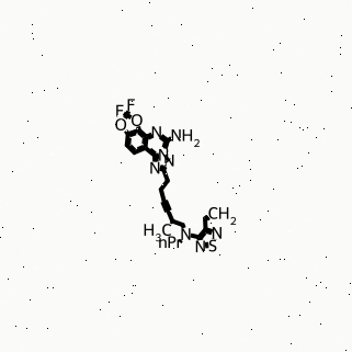 C=Cc1nsnc1N(CCC)C[C@@H](C)C#CCCc1nc2c3ccc4c(c3nc(N)n2n1)OC(F)(F)O4